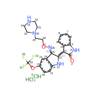 Cl.Cl.O=C1Nc2ccccc2/C1=C1/Nc2ccc(OC(F)(F)F)cc2/C1=N\OCCN1CCNCC1